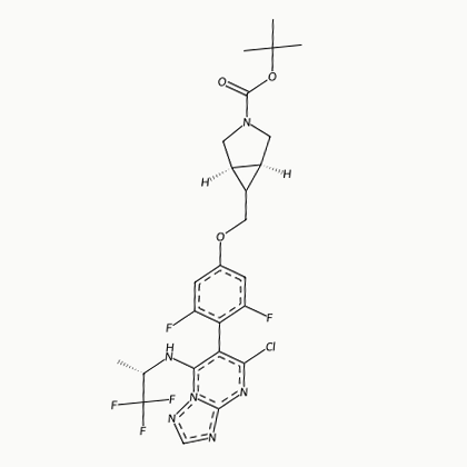 C[C@H](Nc1c(-c2c(F)cc(OCC3[C@H]4CN(C(=O)OC(C)(C)C)C[C@@H]34)cc2F)c(Cl)nc2ncnn12)C(F)(F)F